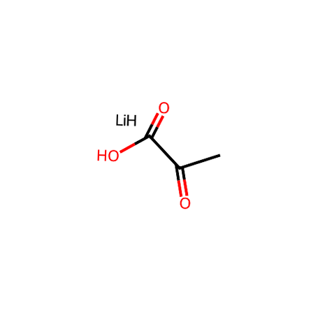 CC(=O)C(=O)O.[LiH]